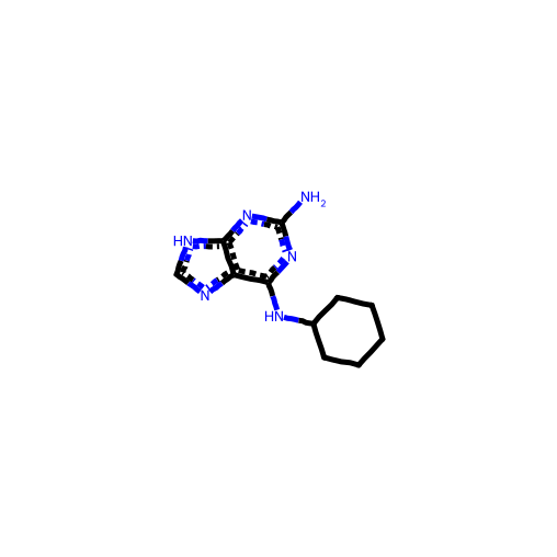 Nc1nc(NC2CCCCC2)c2nc[nH]c2n1